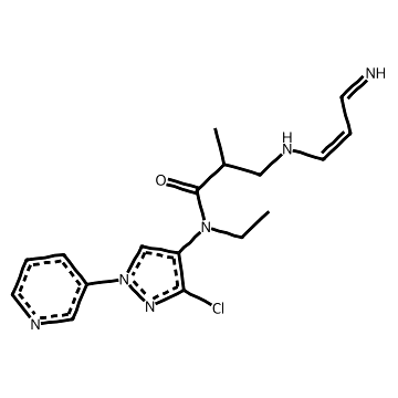 CCN(C(=O)C(C)CN/C=C\C=N)c1cn(-c2cccnc2)nc1Cl